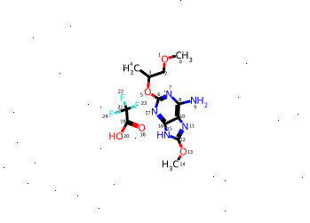 COCC(C)Oc1nc(N)c2nc(OC)[nH]c2n1.O=C(O)C(F)(F)F